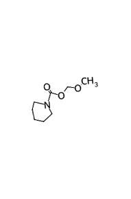 COCOC(=O)N1CCCCC1